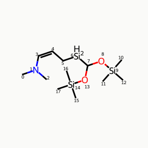 CN(C)/C=C\C[SiH2]C(O[Si](C)(C)C)O[Si](C)(C)C